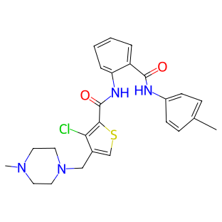 Cc1ccc(NC(=O)c2ccccc2NC(=O)c2scc(CN3CCN(C)CC3)c2Cl)cc1